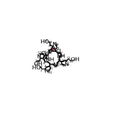 OCCc1cc(C2=C3C=CC(Cl)(N3)C(Cl)(c3ccnc(CCO)c3)C3=NC(Cl)(C=C3)C(Cl)(c3ccnc(CCO)c3)c3ccc([nH]3)C(c3ccnc(CCO)c3)=C3C=CC2=N3)ccn1